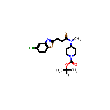 CN(C(=S)CCc1nc2cc(Cl)ccc2s1)C1CCN(C(=O)OC(C)(C)C)CC1